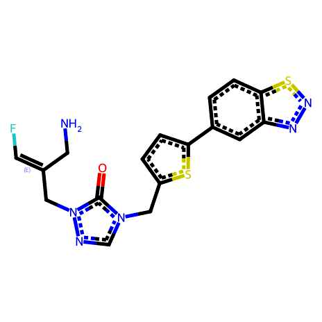 NC/C(=C\F)Cn1ncn(Cc2ccc(-c3ccc4snnc4c3)s2)c1=O